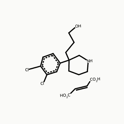 O=C(O)C=CC(=O)O.OCCCC1(c2ccc(Cl)c(Cl)c2)CCCNC1